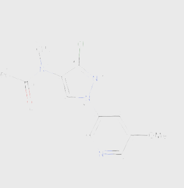 COc1cncc(-n2cc(N(C)C(=O)C(C)C)c(Cl)n2)c1